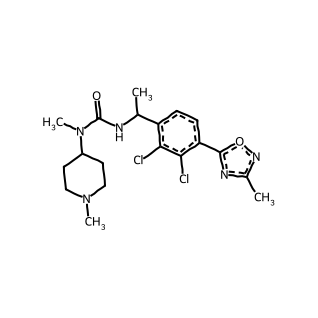 Cc1noc(-c2ccc(C(C)NC(=O)N(C)C3CCN(C)CC3)c(Cl)c2Cl)n1